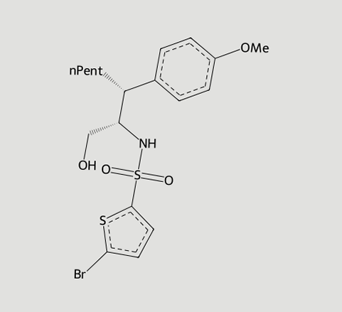 CCCCC[C@H](c1ccc(OC)cc1)[C@@H](CO)NS(=O)(=O)c1ccc(Br)s1